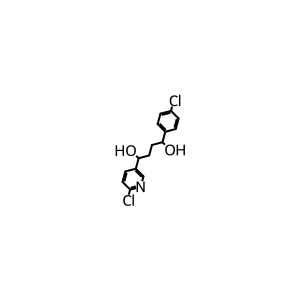 OC(CCC(O)c1ccc(Cl)nc1)c1ccc(Cl)cc1